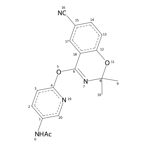 CC(=O)Nc1ccc(OC2=NC(C)(C)Oc3ccc(C#N)cc32)nc1